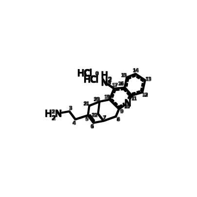 Cl.Cl.NCCC1=CC2Cc3nc4ccccc4c(N)c3C(C1)C2